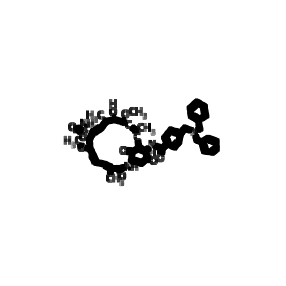 COC1/C=C\C=C(/C)C(=O)NC2=CC(=O)C(NC(=O)c3ccc(CN(Cc4ccccc4)Cc4ccccc4)cc3)=C(C[C@@H](C)C[C@H](OC)[C@H](O)[C@@H](C)/C=C(\C)[C@@H]1OC(N)=O)C2=O